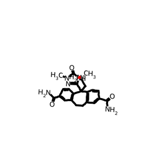 C[C@@H](N)CC1(c2nn(C)c(=O)[nH]2)c2ccc(C(N)=O)cc2CCc2cc(C(N)=O)ccc21